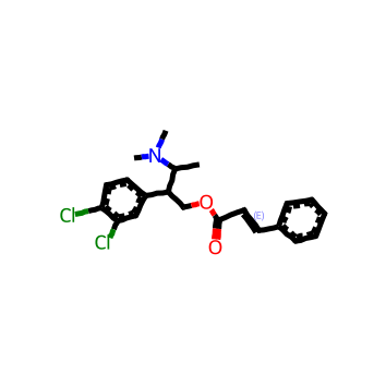 CC(C(COC(=O)/C=C/c1ccccc1)c1ccc(Cl)c(Cl)c1)N(C)C